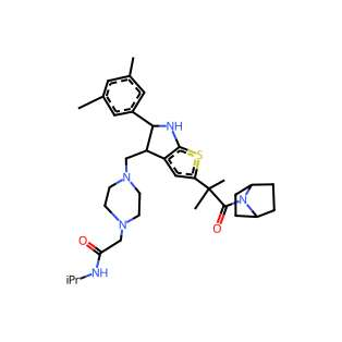 Cc1cc(C)cc(C2Nc3sc(C(C)(C)C(=O)N4C5CCC4CC5)cc3C2CN2CCN(CC(=O)NC(C)C)CC2)c1